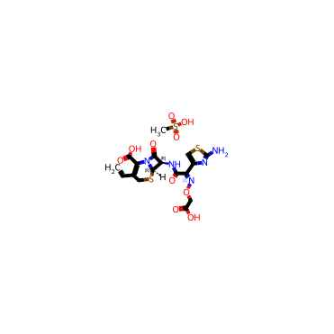 C=CC1=C(C(=O)O)N2C(=O)[C@@H](NC(=O)/C(=N\OCC(=O)O)c3csc(N)n3)[C@H]2SC1.CS(=O)(=O)O